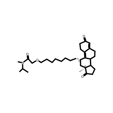 CC(C)N(C)C(=O)COCCCCCCCC[C@H]1C[C@]2(C)C(=O)CCC2C2CCC3=CC(=O)CCC3=C21